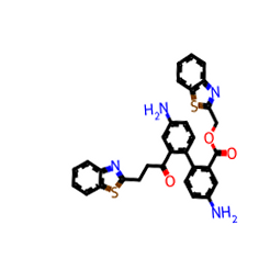 Nc1ccc(-c2ccc(N)cc2C(=O)OCc2nc3ccccc3s2)c(C(=O)CCc2nc3ccccc3s2)c1